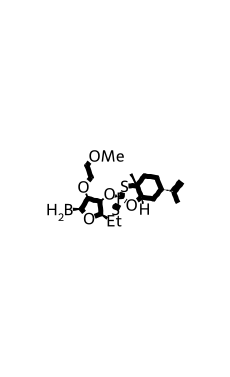 B[C@@H]1O[C@H](CC)[C@@H](O[P@]2(=S)O[C@@H]3C[C@@H](C(=C)C)CC[C@@]3(C)S2)[C@H]1OCCOC